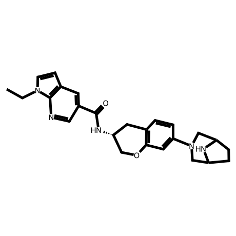 CCn1ccc2cc(C(=O)N[C@H]3COc4cc(N5CC6CCC(C5)N6)ccc4C3)cnc21